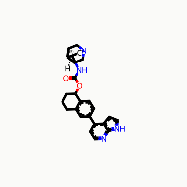 O=C(N[C@@H]1CN2CCC1CC2)OC1CCCc2cc(-c3ccnc4[nH]ccc34)ccc21